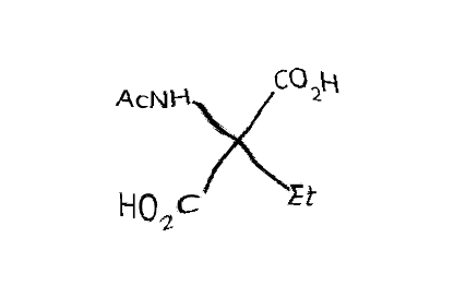 CCC(NC(C)=O)(C(=O)O)C(=O)O